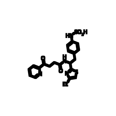 CCc1csc(C(Cc2ccc(NS(=O)(=O)O)cc2)NC(=O)CCC(=O)c2ccccn2)n1